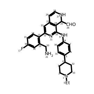 CCN1CCC(c2ccc(Nc3nc(-c4ccc(F)cc4CN)cc4c3C(C=O)NC=C4)cc2)CC1